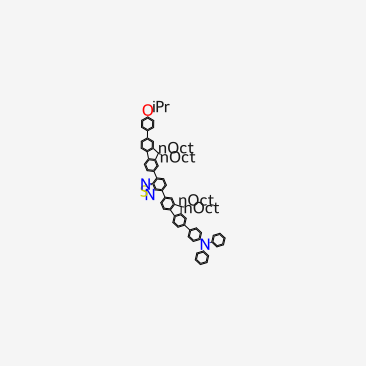 CCCCCCCCC1(CCCCCCCC)c2cc(-c3ccc(OC(C)C)cc3)ccc2-c2ccc(-c3ccc(-c4ccc5c(c4)C(CCCCCCCC)(CCCCCCCC)c4cc(-c6ccc(N(c7ccccc7)c7ccccc7)cc6)ccc4-5)c4nsnc34)cc21